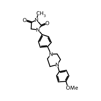 COc1ccc(N2CCN(c3ccc(N4CC(=O)N(C)C4=O)cc3)CC2)cc1